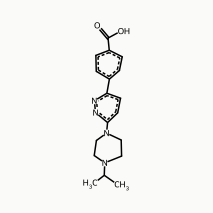 CC(C)N1CCN(c2ccc(-c3ccc(C(=O)O)cc3)nn2)CC1